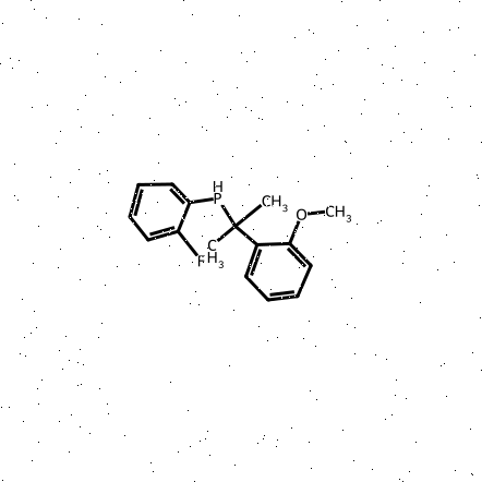 COc1ccccc1C(C)(C)Pc1ccccc1F